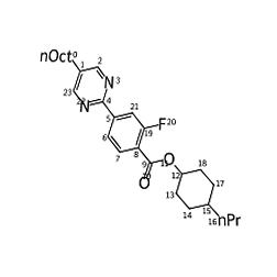 CCCCCCCCc1cnc(-c2ccc(C(=O)OC3CCC(CCC)CC3)c(F)c2)nc1